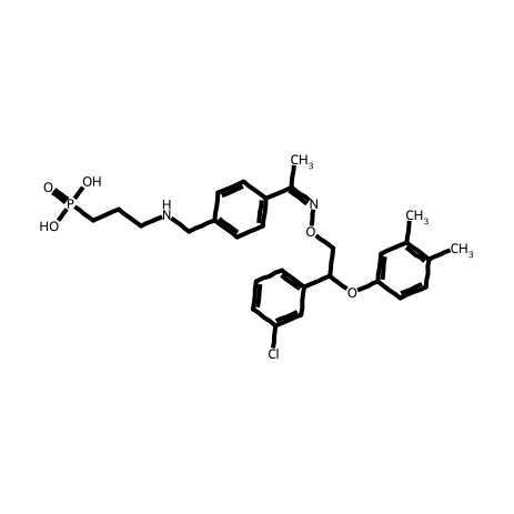 CC(=NOCC(Oc1ccc(C)c(C)c1)c1cccc(Cl)c1)c1ccc(CNCCCP(=O)(O)O)cc1